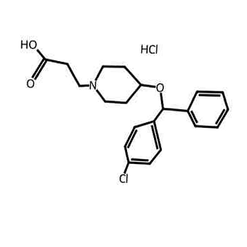 Cl.O=C(O)CCN1CCC(OC(c2ccccc2)c2ccc(Cl)cc2)CC1